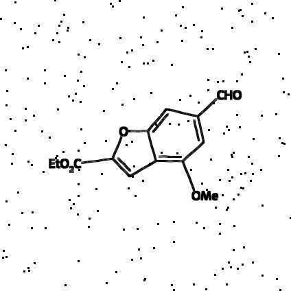 CCOC(=O)c1cc2c(OC)cc(C=O)cc2o1